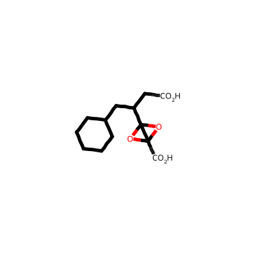 O=C(O)CC(CC1CCCCC1)C12OC1(C(=O)O)O2